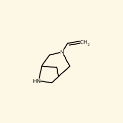 C=CN1CC2CNC(C2)C1